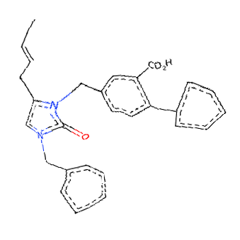 C/C=C/Cc1cn(Cc2ccccc2)c(=O)n1Cc1ccc(-c2ccccc2)c(C(=O)O)c1